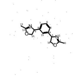 CC1=NC(c2cccc(C3COC(C)=N3)c2)CO1